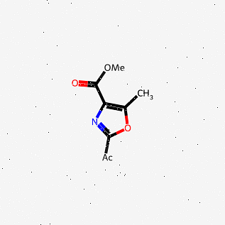 COC(=O)c1nc(C(C)=O)oc1C